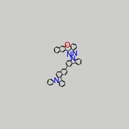 c1ccc(-n2c3ccccc3c3c4ccc(-c5ccc6c(c5)c5ccccc5n6-c5nc6c7c(cccc7n5)Oc5cc7ccccc7cc5-6)cc4ccc32)cc1